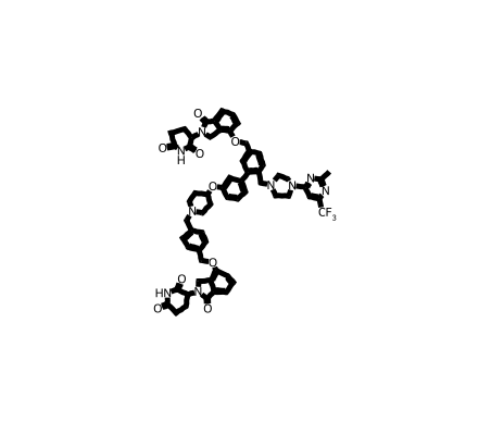 Cc1nc(N2CCN(Cc3ccc(COc4cccc5c4CN(C4CCC(=O)NC4=O)C5=O)cc3-c3cccc(OC4CCN(Cc5ccc(COc6cccc7c6CN(C6CCC(=O)NC6=O)C7=O)cc5)CC4)c3)CC2)cc(C(F)(F)F)n1